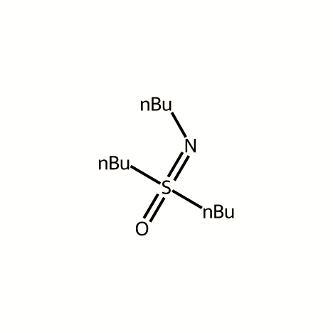 CCCCN=S(=O)(CCCC)CCCC